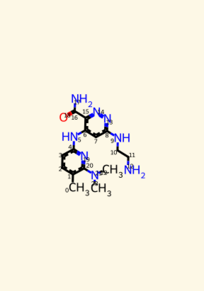 Cc1ccc(Nc2cc(NCCN)nnc2C(N)=O)nc1N(C)C